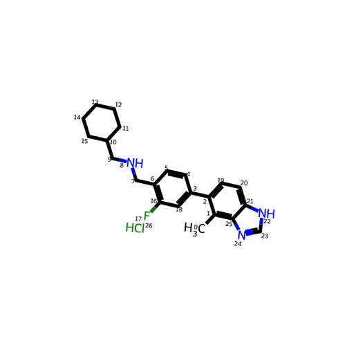 Cc1c(-c2ccc(CNCC3CCCCC3)c(F)c2)ccc2[nH]cnc12.Cl